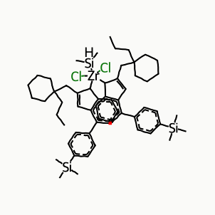 CCCC1(CC2=Cc3c(-c4ccc([Si](C)(C)C)cc4)cccc3[CH]2[Zr]([Cl])([Cl])([CH]2C(CC3(CCC)CCCCC3)=Cc3c(-c4ccc([Si](C)(C)C)cc4)cccc32)[SiH](C)C)CCCCC1